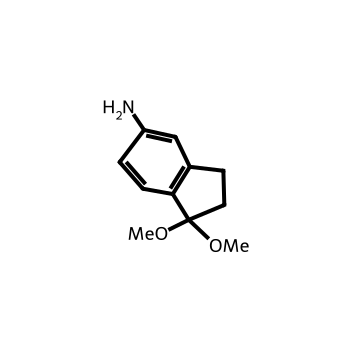 COC1(OC)CCc2cc(N)ccc21